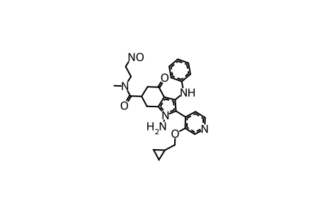 CN(CCN=O)C(=O)C1CC(=O)c2c(Nc3ccccc3)c(-c3ccncc3OCC3CC3)n(N)c2C1